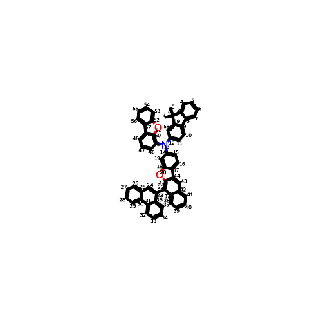 CC1(C)c2ccccc2-c2ccc(N(c3ccc4c(c3)oc3c(-c5cc6ccccc6c6ccccc56)c5ccccc5cc34)c3cccc4c3oc3ccccc34)cc21